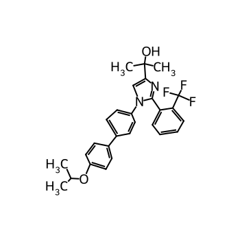 CC(C)Oc1ccc(-c2ccc(-n3cc(C(C)(C)O)nc3-c3ccccc3C(F)(F)F)cc2)cc1